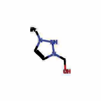 CC(C)N1C=CN(CO)N1